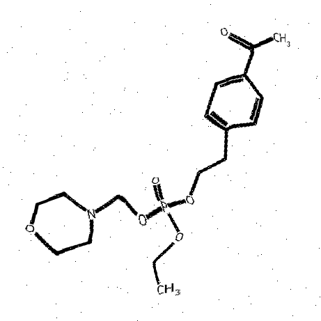 CCOP(=O)(OCCc1ccc(C(C)=O)cc1)OCN1CCOCC1